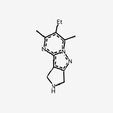 CCc1c(C)nc2c3c(nn2c1C)CNC3